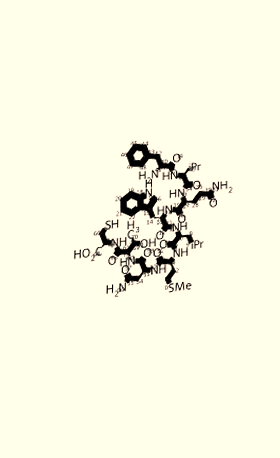 CSCC[C@H](NC(=O)[C@H](CC(C)C)NC(=O)[C@H](Cc1c[nH]c2ccccc12)NC(=O)[C@H](CCC(N)=O)NC(=O)[C@@H](NC(=O)[C@@H](N)Cc1ccccc1)C(C)C)C(=O)N[C@@H](CC(N)=O)C(=O)N[C@H](C(=O)N[C@@H](CS)C(=O)O)[C@@H](C)O